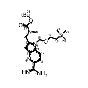 CN(Cc1cc2nc(C(=N)N)ccc2n1COCC[Si](C)(C)C)C(=O)OC(C)(C)C